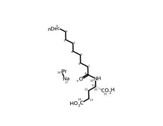 CCCCCCCCCCCCCCCCCC(=O)N[C@@H](CCC(=O)O)C(=O)O.C[CH](C)[Na]